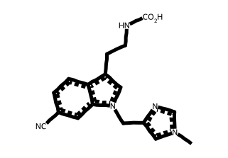 Cn1cnc(Cn2cc(CCNC(=O)O)c3ccc(C#N)cc32)c1